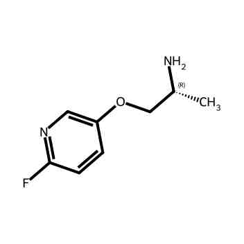 C[C@@H](N)COc1ccc(F)nc1